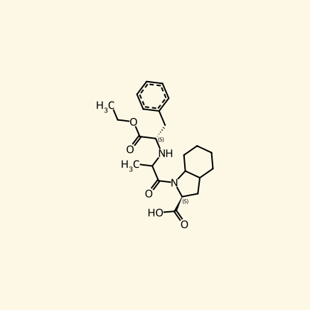 CCOC(=O)[C@H](Cc1ccccc1)NC(C)C(=O)N1C2CCCCC2C[C@H]1C(=O)O